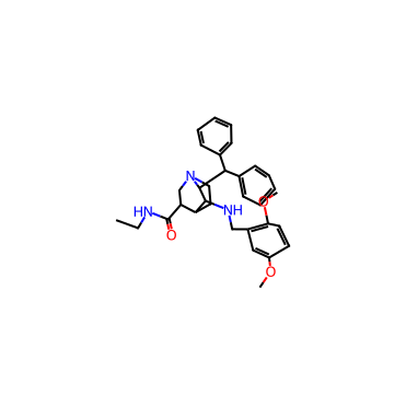 CCNC(=O)C1CN2CCC1C(NCc1cc(OC)ccc1OC)C2C(c1ccccc1)c1ccccc1